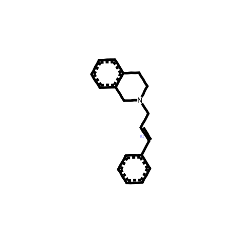 C(=C\c1ccccc1)/CN1CCc2ccccc2C1